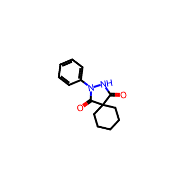 O=C1NN(c2ccccc2)C(=O)C12CCCCC2